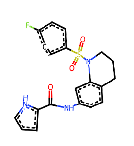 O=C(Nc1ccc2c(c1)N(S(=O)(=O)c1ccc(F)cc1)CCC2)c1ccc[nH]1